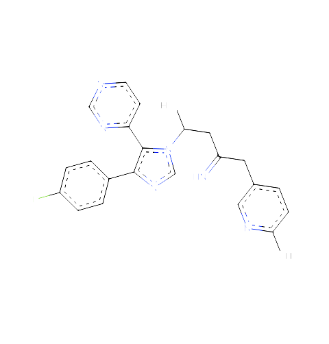 Cc1ccc(CC(=N)CC(C)n2cnc(-c3ccc(F)cc3)c2-c2ccncn2)cn1